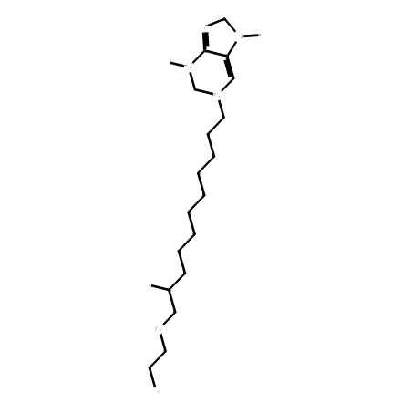 CCCCCCCCCCCCNCC(O)CCCCCCCCCN1C=C2C(=NCN2C)N(C)C1